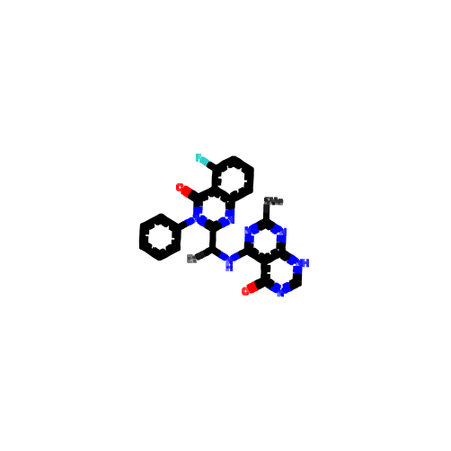 CCC(Nc1nc(SC)nc2[nH]cnc(=O)c12)c1nc2cccc(F)c2c(=O)n1-c1ccccc1